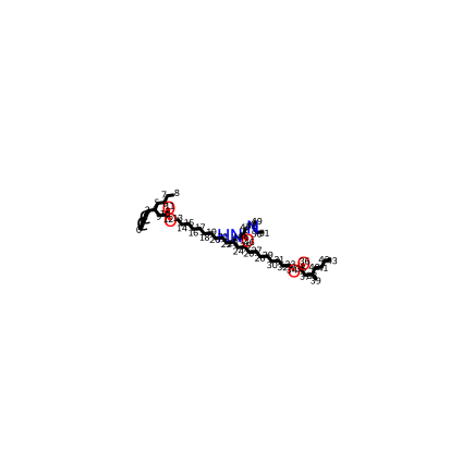 C=C=C=CC(CCCC)CC(=O)OCCCCCCCCCCC(CCCCCCCCCCOC(=O)CC(C)CCCC)NC(=O)CN(C)CC